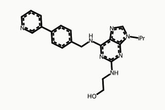 CC(C)n1cnc2c(NCc3ccc(-c4cccnc4)cc3)nc(NCCO)nc21